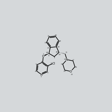 Clc1cnccc1O[C@@H]1C[C@@H](CN2CCOCC2)c2ccccc21